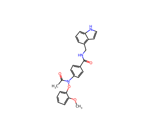 COc1ccccc1ON(C(C)=O)c1ccc(C(=O)NCc2cccc3[nH]ccc23)cc1